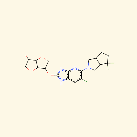 OC1COC2C(Oc3nc4nc(N5CC6CCC(F)(F)C6C5)c(Cl)cc4[nH]3)COC12